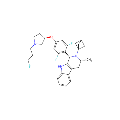 C[C@@H]1Cc2c([nH]c3ccccc23)[C@@H](c2c(F)cc(O[C@@H]3CCN(CCCF)C3)cc2F)N1C12CC(C1)C2